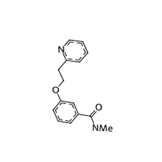 CNC(=O)c1cccc(OCCc2ccccn2)c1